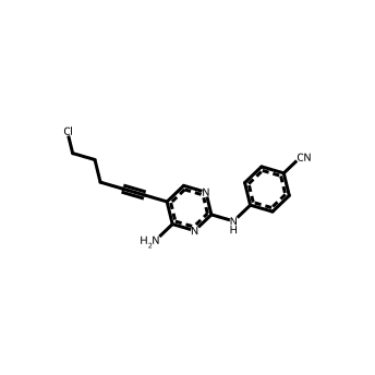 N#Cc1ccc(Nc2ncc(C#CCCCCl)c(N)n2)cc1